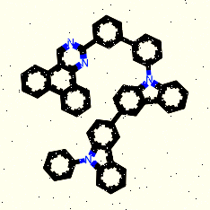 c1ccc(-n2c3ccccc3c3cc(-c4ccc5c(c4)c4ccccc4n5-c4cccc(-c5cccc(-c6ncc7c8ccccc8c8ccccc8c7n6)c5)c4)ccc32)cc1